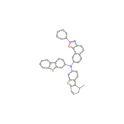 CC1CC=Cc2sc3cc(N(c4ccc5c(c4)sc4ccccc45)c4ccc5ccc6nc(-c7ccccc7)oc6c5c4)ccc3c21